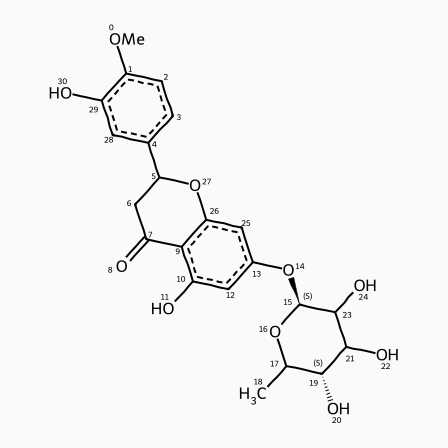 COc1ccc(C2CC(=O)c3c(O)cc(O[C@@H]4OC(C)[C@@H](O)C(O)C4O)cc3O2)cc1O